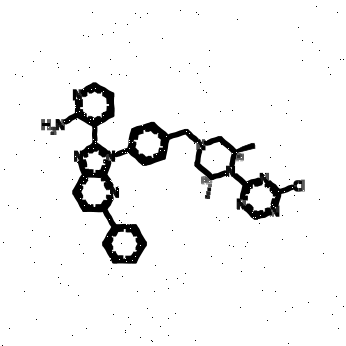 C[C@@H]1CN(Cc2ccc(-n3c(-c4cccnc4N)nc4ccc(-c5ccccc5)nc43)cc2)C[C@@H](C)N1c1ncnc(Cl)n1